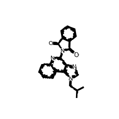 CC(C)Cn1cnc2c(N3C(=O)c4ccccc4C3=O)nc3ccccc3c21